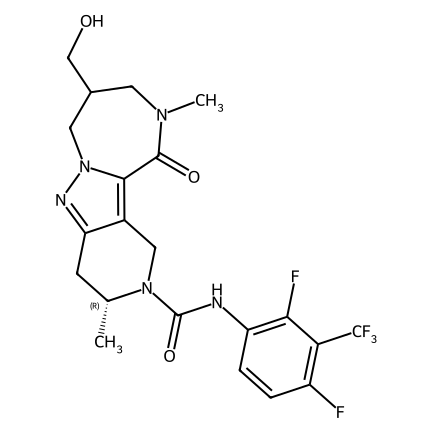 C[C@@H]1Cc2nn3c(c2CN1C(=O)Nc1ccc(F)c(C(F)(F)F)c1F)C(=O)N(C)CC(CO)C3